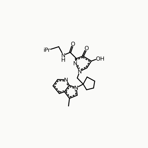 Cc1cn(C2(Cn3cc(O)c(=O)c(C(=O)NCC(C)C)n3)CCCC2)c2ncccc12